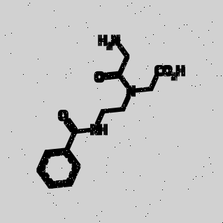 NCC(=O)N(CCNC(=O)c1ccccc1)CC(=O)O